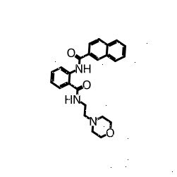 O=C(Nc1ccccc1C(=O)NCCN1CCOCC1)c1ccc2ccccc2c1